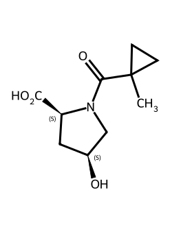 CC1(C(=O)N2C[C@@H](O)C[C@H]2C(=O)O)CC1